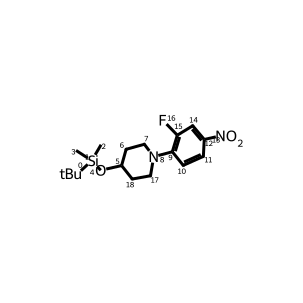 CC(C)(C)[Si](C)(C)OC1CCN(c2ccc([N+](=O)[O-])cc2F)CC1